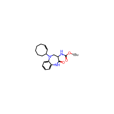 CC(C)(C)OC(=O)NC1CN(C2/C=C\CCCCC2)c2ccccc2NC1=O